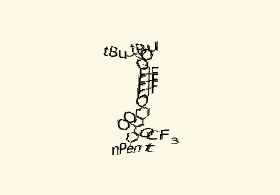 CCCCCc1ccc(-c2cc3ccc(OCC(F)(F)C(F)(F)C(F)(F)COC(=O)C(CC(C)(C)C)C(C)(C)C)cc3oc2=O)c(OC(F)(F)F)c1